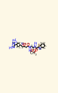 COC(=O)C(CNC(=O)CC1CC(c2ccc(C(=N)N)cc2)=NO1)NC(=O)c1nc2ccccc2s1